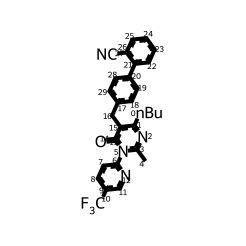 CCCCc1nc(C)n(-c2ccc(C(F)(F)F)cn2)c(=O)c1Cc1ccc(-c2ccccc2C#N)cc1